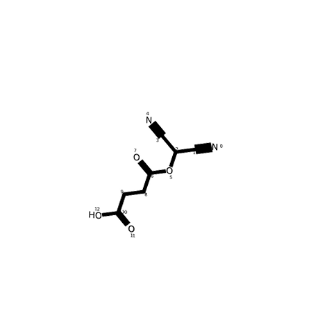 N#CC(C#N)OC(=O)CCC(=O)O